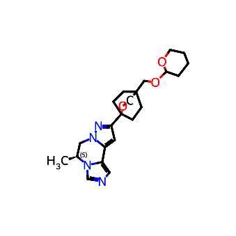 C[C@H]1Cn2nc(C34CCC(COC5CCCCO5)(CC3)CO4)cc2-c2cncn21